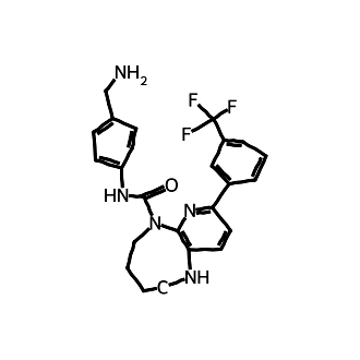 NCc1ccc(NC(=O)N2CCCCNc3ccc(-c4cccc(C(F)(F)F)c4)nc32)cc1